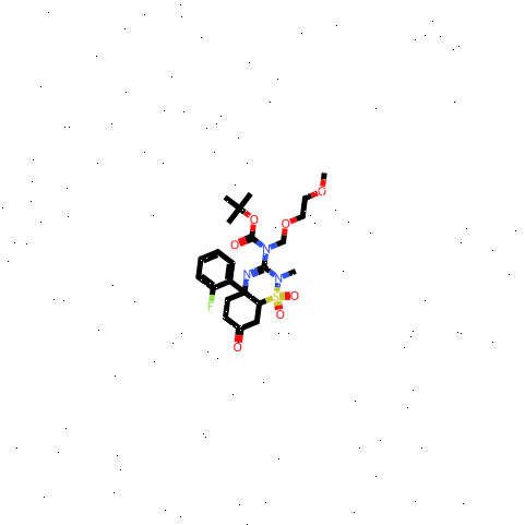 COCCOCN(C(=O)OC(C)(C)C)C1=NC2(c3ccccc3F)CCC(=O)CC2S(=O)(=O)N1C